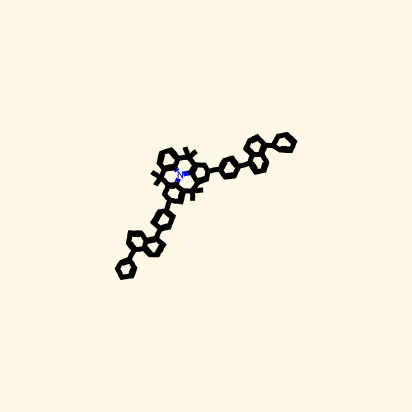 CC1(C)C2=CC(c3ccc(-c4cccc5c(C6=CCCC=C6)cccc45)cc3)CC3=C2N2C4=C(CC(c5ccc(-c6cccc7c(C8C=CC=CC8)cccc67)cc5)C=C41)C(C)(C)c1cccc(c12)C3(C)C